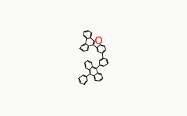 c1ccc(-c2c3ccccc3c(-c3cccc(-c4ccc5oc6c7ccccc7c7ccccc7c6c5c4)c3)c3ccccc23)cc1